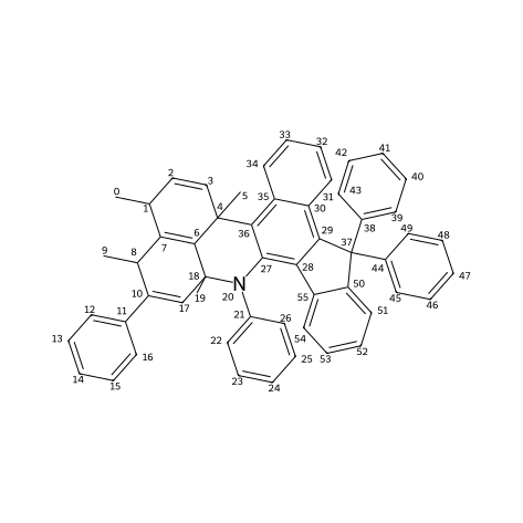 CC1C=CC2(C)C3=C1C(C)C(c1ccccc1)=CC3(C)N(c1ccccc1)c1c3c(c4ccccc4c12)C(c1ccccc1)(c1ccccc1)c1ccccc1-3